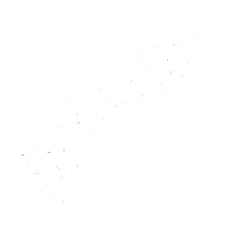 C/C=C/C=C\C(=C/C)c1c2ccccc2c(-c2ccc3cc(-c4c5ccccc5c(-c5cccc(/C(=C\C)N(c6ccccc6)c6ccccc6C)c5)c5ccccc45)ccc3c2)c2ccccc12